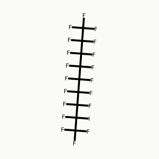 FC(F)(F)C(F)(F)C(F)(F)C(F)(F)C(F)(F)C(F)(F)C(F)(F)C(F)(I)C(F)(F)F